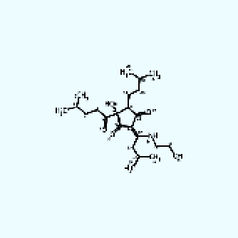 CC(C)CCC(=O)[C@@]1(O)C(=O)/C(=C(\CC(C)C)NCCO)C(=O)[C@@H]1CCC(C)C